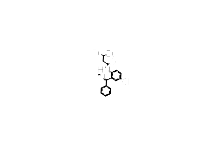 C=[N+]=C(c1ccccc1)c1cc(Cl)ccc1NC(=O)CC(CC)CC